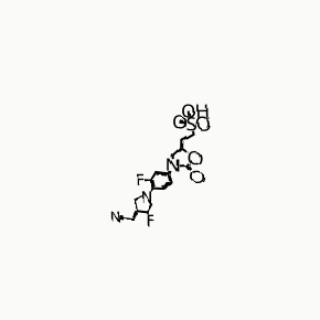 N#CC=C1CCN(c2ccc(N3CC(CCS(=O)(=O)O)OC3=O)cc2F)C[C@@H]1F